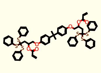 C=CC(=O)OC(COc1ccc(C(C)(C)c2ccc(OCC(CC(Sc3ccccc3)(Sc3ccccc3)Sc3ccccc3)OC(=O)C=C)cc2)cc1)CC(Sc1ccccc1)(Sc1ccccc1)Sc1ccccc1